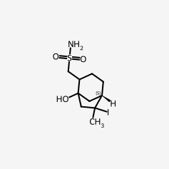 CC1(I)CC2(O)C[C@@H]1CCC2CS(N)(=O)=O